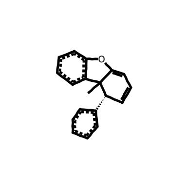 CC12C(=CC=C[C@@H]1c1ccccc1)Oc1ccccc12